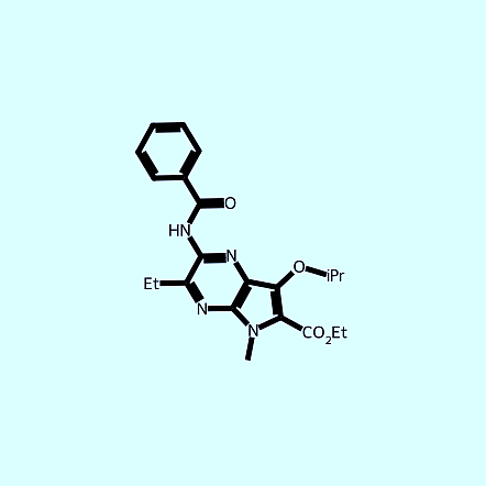 CCOC(=O)c1c(OC(C)C)c2nc(NC(=O)c3ccccc3)c(CC)nc2n1C